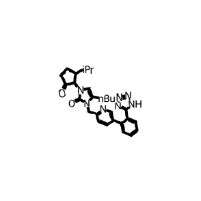 CCCCc1cn(C2C(=O)CCC2C(C)C)c(=O)n1Cc1ccc(-c2ccccc2-c2nnn[nH]2)cn1